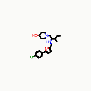 CCC(C)C(CN1CCC(O)CC1)NCc1ccc(-c2ccc(Cl)cc2)o1